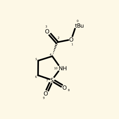 CC(C)(C)OC(=O)[C@H]1CCS(=O)(=O)N1